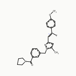 Cc1cc(/C=C(\F)c2ccc(OC(F)(F)F)cc2)nn1Cc1cccc(C(=O)N2CCCC2)c1